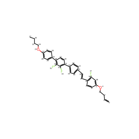 C=CCCOc1ccc(/C=C/c2ccc(-c3ccc(-c4ccc(OCCCC)cc4)c(F)c3F)cc2)c(F)c1